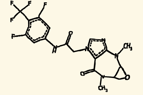 CN1C(=O)c2c(ncn2CC(=O)Nc2cc(F)c(C(F)(F)F)c(F)c2)N(C)C2OC21